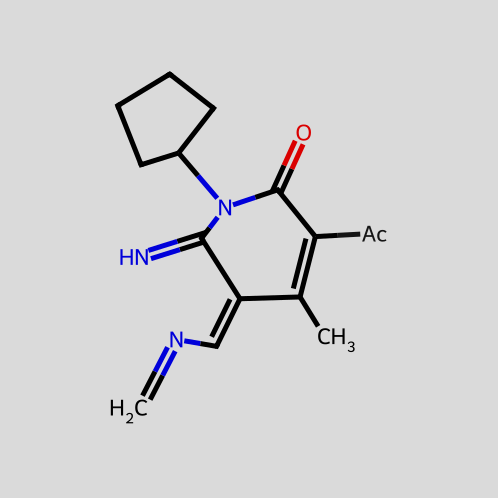 C=N/C=C1\C(=N)N(C2CCCC2)C(=O)C(C(C)=O)=C1C